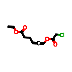 C=COC(=O)CCC=C=COC(=O)CCl